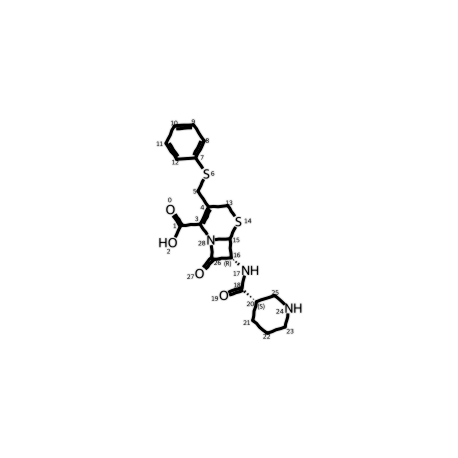 O=C(O)C1=C(CSc2ccccc2)CSC2[C@H](NC(=O)[C@H]3CCCNC3)C(=O)N12